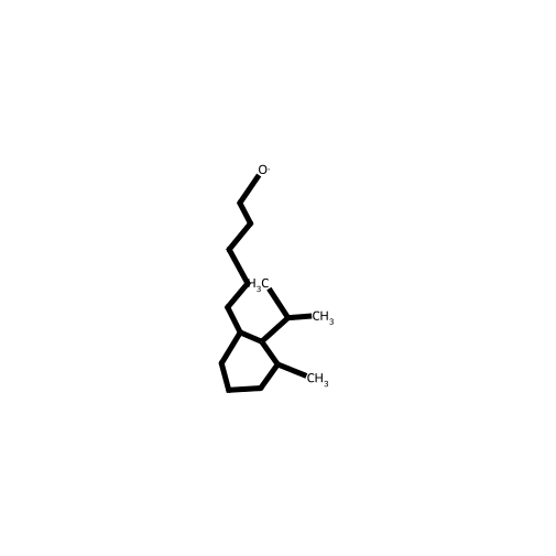 CC(C)C1C(C)CCCC1CCCCC[O]